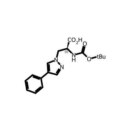 CC(C)(C)OC(=O)N[C@@H](Cn1cc(-c2ccccc2)cn1)C(=O)O